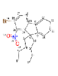 CCCCC1(CCCC)c2ccccc2-c2ccc(Br)c([N+](=O)[O-])c21